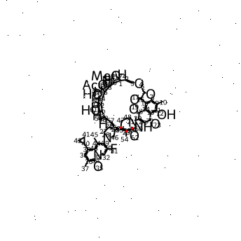 CO[C@H]1/C=C/O[C@@]2(C)Oc3c(C)c(O)c4c(c3C2=O)C(=O)C(N2CCC(C3CCN(c5c(F)cn6c(=O)c(C)cc(C7CC7)c6c5C)C3)CC2)=C(NC(=O)/C(C)=C\C=C\[C@H](C)[C@H](O)[C@@H](C)[C@@H](O)[C@@H](C)[C@H](OC(C)=O)[C@@H]1C)C4=O